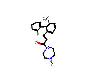 CC(=O)N1CCN(C(=O)/C=C/c2cc[c]c([N+](=O)[O-])c2-c2ccccc2F)CC1